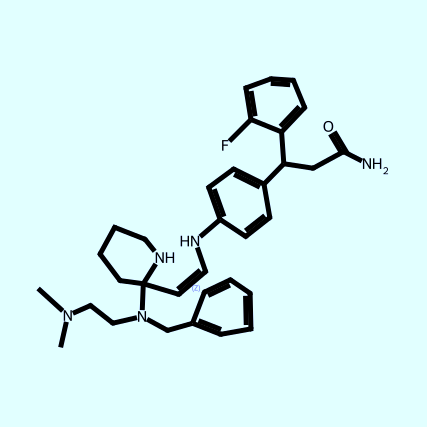 CN(C)CCN(Cc1ccccc1)C1(/C=C\Nc2ccc(C(CC(N)=O)c3ccccc3F)cc2)CCCCN1